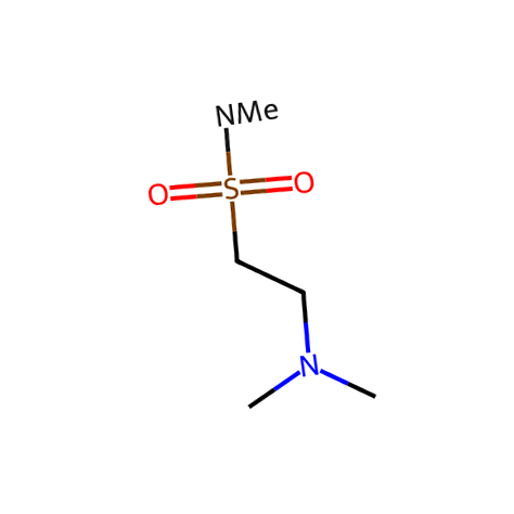 CNS(=O)(=O)CCN(C)C